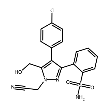 N#CCn1nc(-c2ccccc2S(N)(=O)=O)c(-c2ccc(Cl)cc2)c1CO